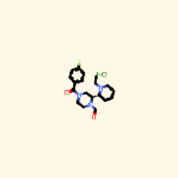 CCN1CCCC[C@H]1C1CN(C(=O)c2ccc(F)cc2)CCN1C=O.Cl